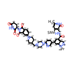 CSc1cc(C)[nH]c(=O)c1CNC(=O)c1cc(-c2ccc(N3CCN(CC4CCN(c5ccc6c(c5)C(=O)N(C5CCC(=O)NC5=O)C6=O)CC4)CC3)nc2)cc2c1cnn2C(C)C